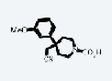 COc1cccc(C2(CC#N)CCN(C(=O)O)CC2)c1